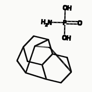 C1C2CC3C4CC5CC(C14)C(C2)C3C5.NP(=O)(O)O